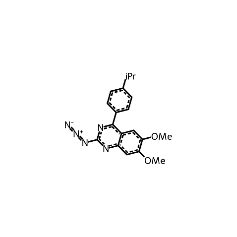 COc1cc2nc(N=[N+]=[N-])nc(-c3ccc(C(C)C)cc3)c2cc1OC